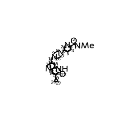 CNC(=O)c1ccc(N2CCN(Cc3cnc4cc(C5CC5)c(=O)[nH]c4c3)CC2)cn1